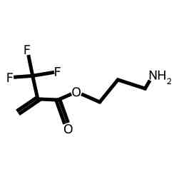 C=C(C(=O)OCCCN)C(F)(F)F